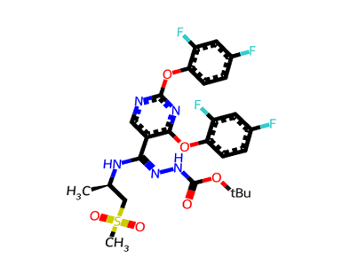 C[C@H](CS(C)(=O)=O)N/C(=N/NC(=O)OC(C)(C)C)c1cnc(Oc2ccc(F)cc2F)nc1Oc1ccc(F)cc1F